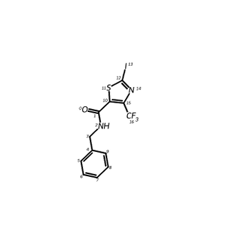 O=C(NCc1ccccc1)c1sc(I)nc1C(F)(F)F